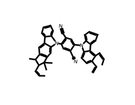 C=Cc1ccc2c(c1/C=C\C)c1ccccc1n2-c1cc(C#N)c(-n2c3ccccc3c3cc4c(cc32)C(C)(C)C(/C=C\C)C4C)cc1C#N